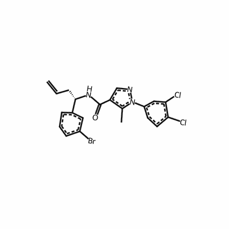 C=CC[C@H](NC(=O)c1cnn(-c2ccc(Cl)c(Cl)c2)c1C)c1cccc(Br)c1